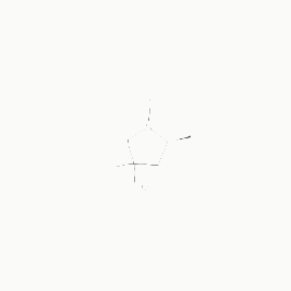 COC1(C(C)C)C[C@H](C)N(C(C)=O)C1